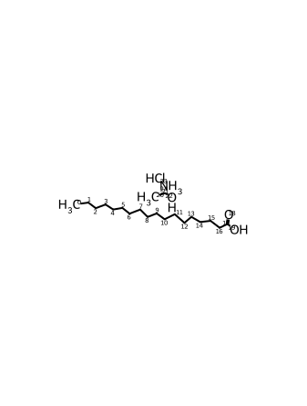 CCCCCCCCCCCCCCCCCC(=O)O.CCO.Cl.N